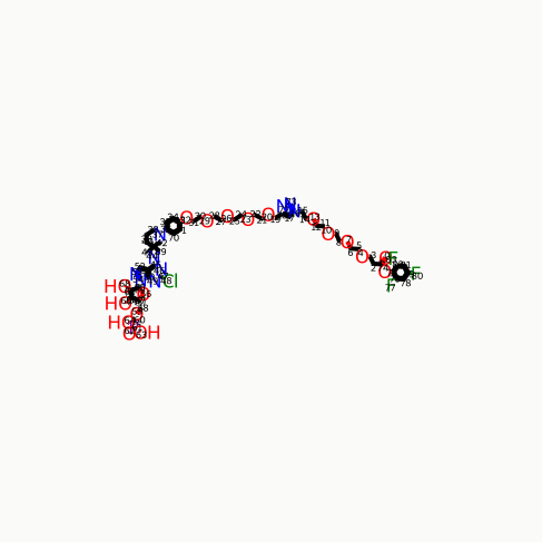 O=C(CCOCCOCCOCCOCCn1cc(COCCOCCOCCOCCOc2ccc(N3CCCC4(C3)CN(c3nc(Cl)nc5c3cnn5[C@@H]3O[C@H](COCP(=O)(O)O)[C@@H](O)[C@H]3O)C4)cc2)nn1)Oc1c(F)cc(F)cc1F